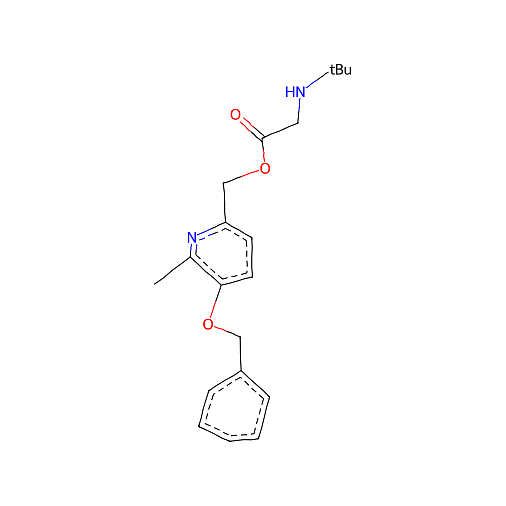 Cc1nc(COC(=O)CNC(C)(C)C)ccc1OCc1ccccc1